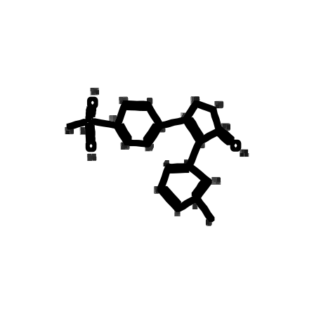 Cc1cccc(C2=C(c3ccc(S(C)(=O)=O)cc3)CCC2=O)c1